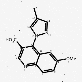 COc1ccc2ncc(C(=O)O)c(-n3cc(C)cn3)c2c1